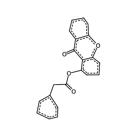 O=C(Cc1ccccc1)Oc1cccc2oc3ccccc3c(=O)c12